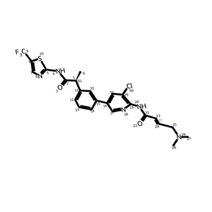 C[C@H](C(=O)Nc1ncc(C(F)(F)F)s1)c1cccc(-c2cnc(NC(=O)/C=C/CN(C)C)c(Cl)c2)c1